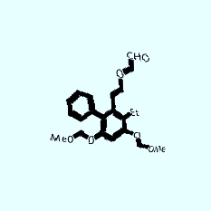 CCc1c(OCOC)cc(OCOC)c(-c2ccccc2)c1CCOCC=O